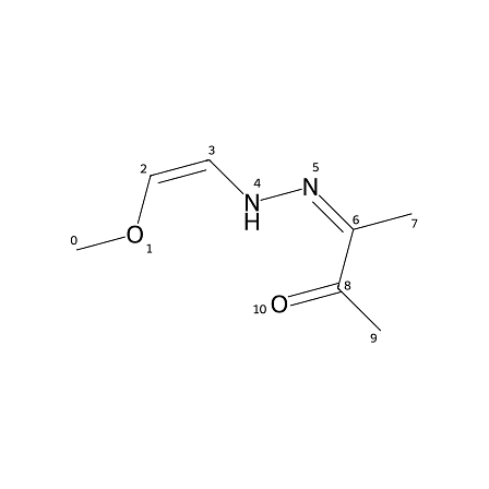 CO/C=C\N/N=C(/C)C(C)=O